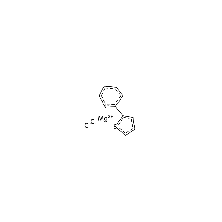 [Cl-].[Cl-].[Mg+2].c1ccc(-c2cccs2)nc1